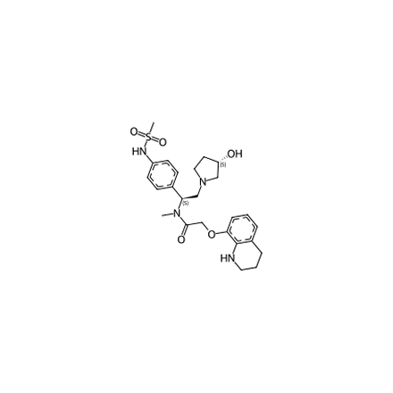 CN(C(=O)COc1cccc2c1NCCC2)[C@H](CN1CC[C@H](O)C1)c1ccc(NS(C)(=O)=O)cc1